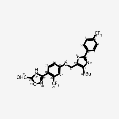 CCCCc1nc(-c2ccc(C(F)(F)F)cc2)sc1COc1ccc(C2=NOC(C=O)N2)c(C(F)(F)F)c1